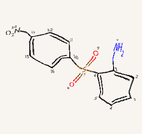 Nc1ccccc1S(=O)(=O)c1ccc([N+](=O)[O-])cc1